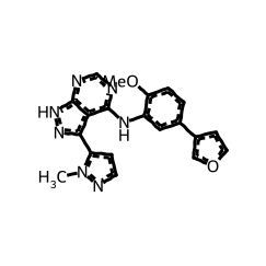 COc1ccc(-c2ccoc2)cc1Nc1ncnc2[nH]nc(-c3ccnn3C)c12